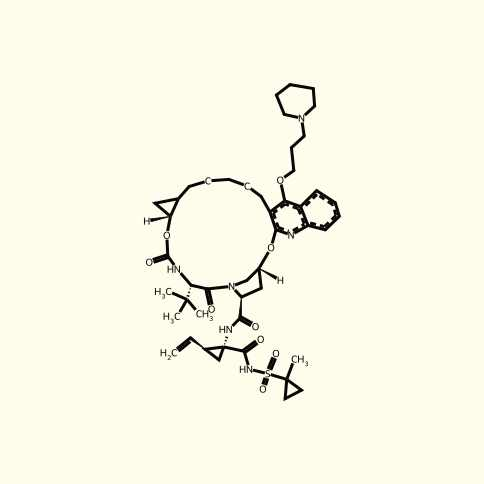 C=C[C@@H]1C[C@]1(NC(=O)[C@@H]1C[C@@H]2CN1C(=O)[C@H](C(C)(C)C)NC(=O)O[C@@H]1CC1CCCCCc1c(nc3ccccc3c1OCCCN1CCCCC1)O2)C(=O)NS(=O)(=O)C1(C)CC1